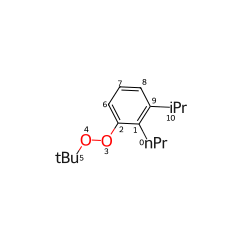 CCCc1c(OOC(C)(C)C)cccc1C(C)C